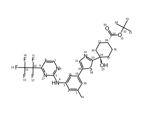 Cc1cc(Nc2nccc(C(F)(F)C(F)(F)F)n2)cc(-c2cnc([C@]3(O)CC[C@H](C(=O)OC(C)(C)C)CC3)s2)c1